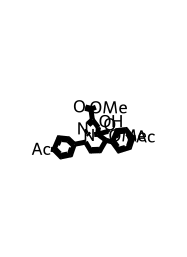 COC(=O)C1=NN2C(c3ccc(C(C)=O)cc3)C=CC(c3ccc(C(C)=O)cc3)C2(C(=O)OC)C1O